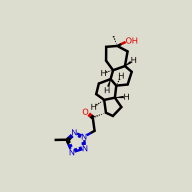 Cc1nnn(CC(=O)[C@H]2CC[C@H]3[C@@H]4CC[C@H]5C[C@](C)(O)CC[C@@H]5[C@H]4CC[C@@H]32)n1